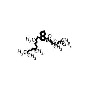 CC(C)CCCC(C)CCCC(C)Cc1ccc(C(=O)NCC[N+](C)(C)CCN(C)C)c2ccccc12